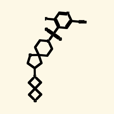 COc1cc(S(=O)(=O)N2CCC3(CC2)CC(N2CC4(COC4)C2)CO3)c(F)cn1